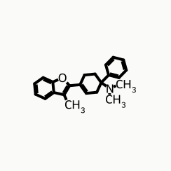 Cc1c(C2=CCC(c3ccccc3)(N(C)C)CC2)oc2ccccc12